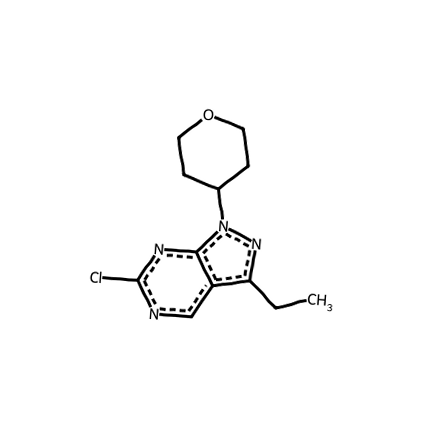 CCc1nn(C2CCOCC2)c2nc(Cl)ncc12